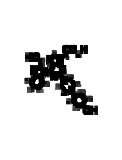 O=C(O)Cn1cnc2c(-n3c(CO)nc4ccccc43)nc(N3CCN(c4ccc(O)cc4)CC3)nc21